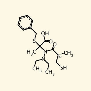 CCN(CC)N(C(=O)[C@H](C)CS)C(C)(SCc1ccccc1)C(=O)O